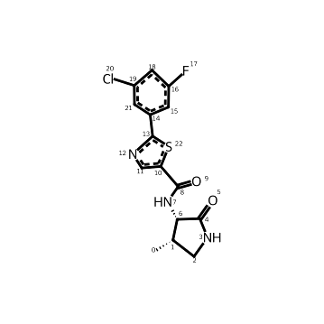 C[C@H]1CNC(=O)[C@H]1NC(=O)c1cnc(-c2cc(F)cc(Cl)c2)s1